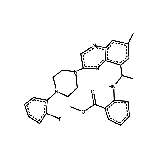 COC(=O)c1ccccc1NC(C)c1cc(C)cc2ncc(N3CCN(c4ccccc4F)CC3)nc12